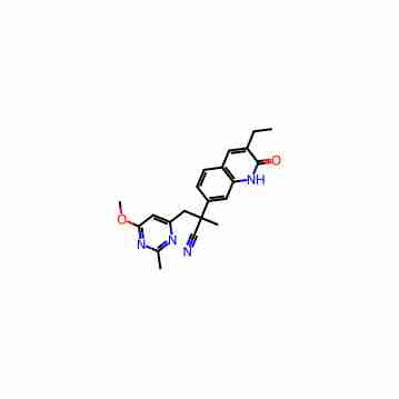 CCc1cc2ccc(C(C)(C#N)Cc3cc(OC)nc(C)n3)cc2[nH]c1=O